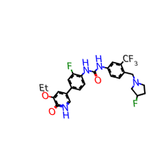 CCOc1cc(-c2ccc(NC(=O)Nc3ccc(CN4CCC(F)C4)c(C(F)(F)F)c3)c(F)c2)c[nH]c1=O